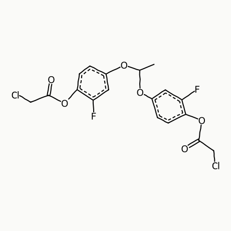 CC(Oc1ccc(OC(=O)CCl)c(F)c1)Oc1ccc(OC(=O)CCl)c(F)c1